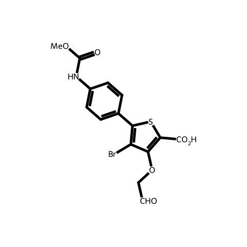 COC(=O)Nc1ccc(-c2sc(C(=O)O)c(OCC=O)c2Br)cc1